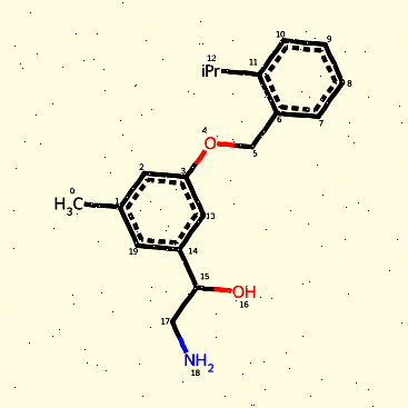 Cc1cc(OCc2ccccc2C(C)C)cc(C(O)CN)c1